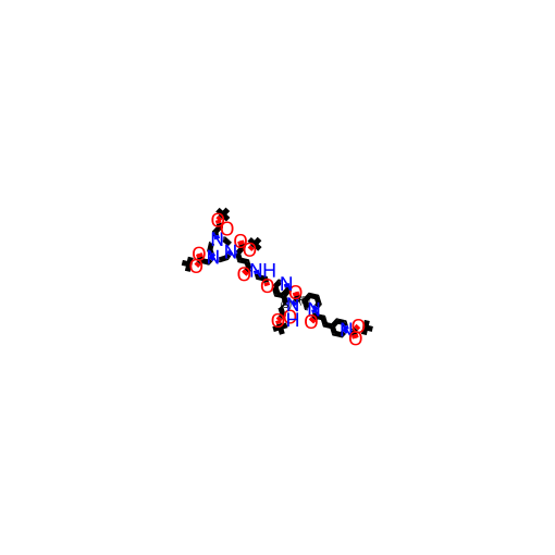 CC(C)(C)OC(=O)C[C@H](NC(=O)[C@@H]1CCCN(C(=O)CCC2CCN(C(=O)OC(C)(C)C)CC2)C1)c1cncc(OCCNC(=O)CCC(C(=O)OC(C)(C)C)N2CCN(CC(=O)OC(C)(C)C)CCN(CC(=O)OC(C)(C)C)CC2)c1